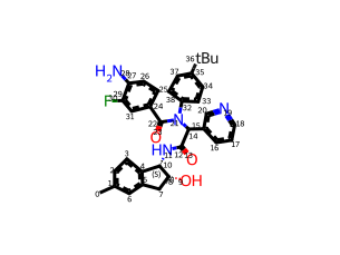 Cc1ccc2c(c1)C[C@@H](O)[C@H]2NC(=O)C(c1cccnc1)N(C(=O)c1ccc(N)c(F)c1)c1ccc(C(C)(C)C)cc1